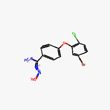 N/C(=N\O)c1ccc(Oc2cc(Br)ccc2Cl)cc1